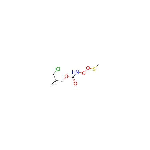 C=C(CCl)COC(=O)NOOSC